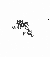 COc1cc2c(OCC3NC(=O)C[C@@H]3CF)nccc2cc1C(N)=O